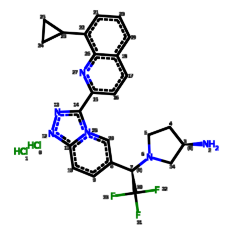 Cl.Cl.N[C@@H]1CCN([C@H](c2ccc3nnc(-c4ccc5cccc(C6CC6)c5n4)n3c2)C(F)(F)F)C1